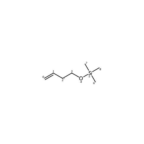 C=C[CH]CO[Si](C)(C)C